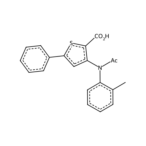 CC(=O)N(c1ccccc1C)c1cc(-c2ccccc2)sc1C(=O)O